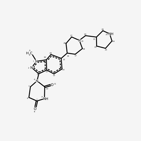 Cn1nc(N2CCC(=O)NC2=O)c2ccc(C3CCN(CC4CCCNC4)CC3)cc21